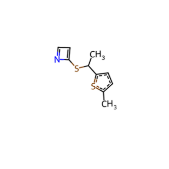 Cc1ccc(C(C)SC2=CC=N2)s1